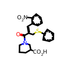 O=C(O)C1CCCN(C(=O)/C(=C/c2ccccc2[N+](=O)[O-])CSc2ccccc2)C1